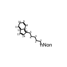 CCCCCCCCCCCCCCC1=C2C=CCC=C2C=C1